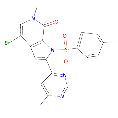 Cc1ccc(S(=O)(=O)n2c(-c3cc(C)ncn3)cc3c(Br)cn(C)c(=O)c32)cc1